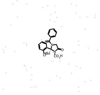 CC(c1ccccc1)N1CC(=O)N(C(=O)O)[C@]1(c1c(Cl)cccc1Cl)C(C)(C)C